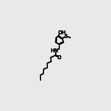 CCCCCCCCC(=O)NCc1ccc(O)c(SC)c1